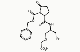 CC(C)C[C@@H](CSCC(=O)O)NC(=O)[C@@H]1CCC(=O)N1C(=O)OCc1ccccc1